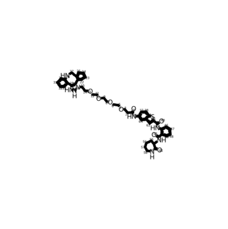 O=C(CCOCCOCCOCCOCCN1NNC2=C1c1ccccc1CNc1ccccc12)Nc1ccc2sc(C(=O)Nc3ccccc3C(=O)NC3CCCCNC3=O)cc2c1